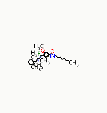 CCCCCCCCNC(=O)c1ccc(/C(F)=C(C)/C=C/C2=C(C)CCCC2(C)C)c(OCC)c1